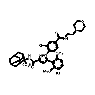 COc1cccc(OC)c1-c1cc(C(=O)NC2(C(=O)O)C3CC4CC(C3)CC2C4)nn1-c1ccc(C(=O)NCCN2CCOCC2)cc1Cl.Cl